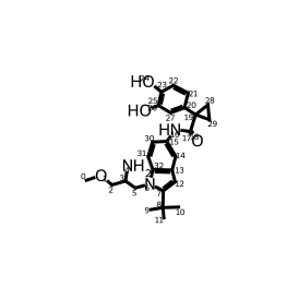 COCC(N)Cn1c(C(C)(C)C)cc2cc(NC(=O)C3(c4ccc(O)c(O)c4)CC3)ccc21